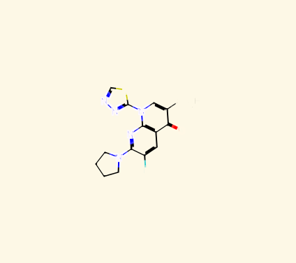 O=C(O)c1cn(-c2nncs2)c2nc(N3CCCC3)c(F)cc2c1=O